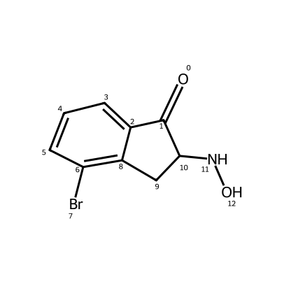 O=C1c2cccc(Br)c2CC1NO